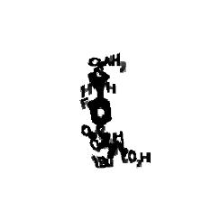 CC(C)(C)C(NC(=O)O)[C@@H]1CN(c2ccc(C3[C@H]4CN(C(N)=O)C[C@@H]34)c(F)c2)C(=O)O1